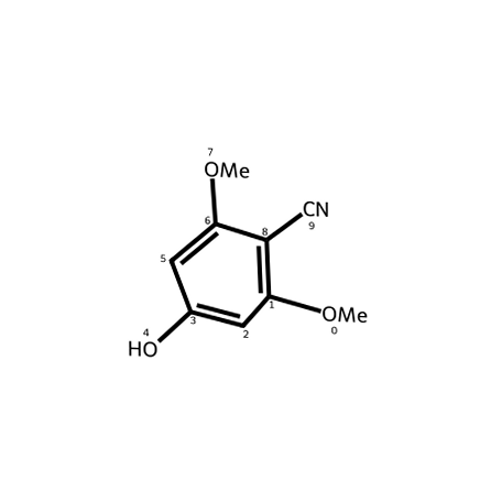 COc1cc(O)cc(OC)c1C#N